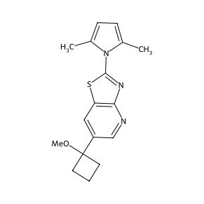 COC1(c2cnc3nc(-n4c(C)ccc4C)sc3c2)CCC1